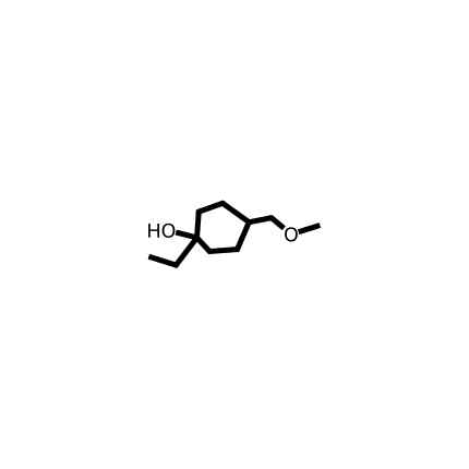 CCC1(O)CCC(COC)CC1